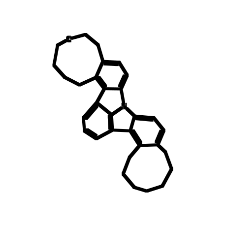 c1cc2c3c4c(ccc3n3c5ccc6c(c5c(c1)c23)CCCCCCC6)CCCCCCC4